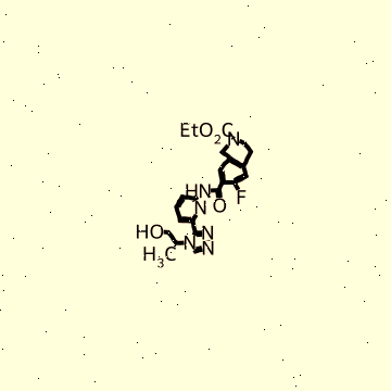 CCOC(=O)N1CCc2cc(F)c(C(=O)Nc3cccc(-c4nncn4[C@H](C)CO)n3)cc2C1